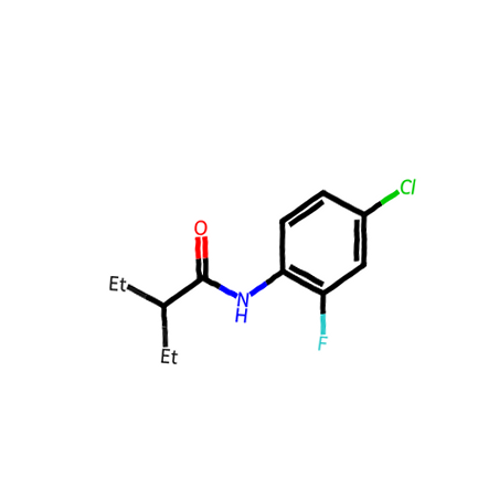 CCC(CC)C(=O)Nc1ccc(Cl)cc1F